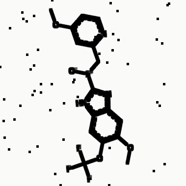 COc1ccnc(C[S+]([O-])c2nc3cc(OC)c(OC(F)(F)F)cc3[nH]2)c1